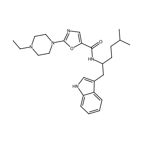 CCN1CCN(c2ncc(C(=O)NC(CCC(C)C)Cc3c[nH]c4ccccc34)o2)CC1